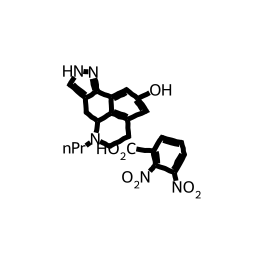 CCCN1CCc2cc(O)cc3c2C1Cc1c[nH]nc1-3.O=C(O)c1cccc([N+](=O)[O-])c1[N+](=O)[O-]